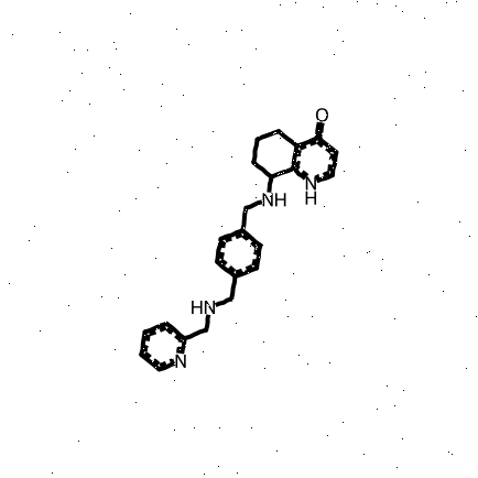 O=c1cc[nH]c2c1CCCC2NCc1ccc(CNCc2ccccn2)cc1